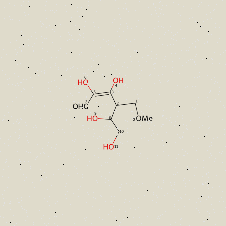 COCC(/C(O)=C(/O)C=O)C(O)CO